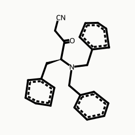 N#CCC(=O)[C@H](Cc1ccccc1)N(Cc1ccccc1)Cc1ccccc1